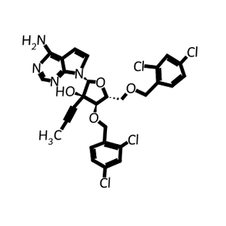 CC#C[C@@]1(O)[C@H](OCc2ccc(Cl)cc2Cl)[C@@H](COCc2ccc(Cl)cc2Cl)O[C@H]1n1ccc2c(N)ncnc21